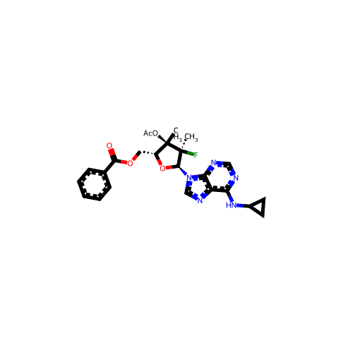 CC(=O)O[C@]1(C)[C@@H](COC(=O)c2ccccc2)O[C@H](n2cnc3c(NC4CC4)ncnc32)[C@]1(C)F